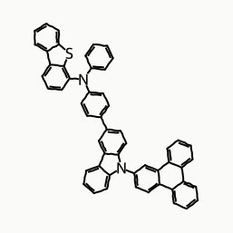 c1ccc(N(c2ccc(-c3ccc4c(c3)c3ccccc3n4-c3ccc4c5ccccc5c5ccccc5c4c3)cc2)c2cccc3c2sc2ccccc23)cc1